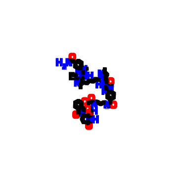 CCn1nc(C)c(CCCCCn2nc(C)cc2C(=O)Nc2nc3cc(C(=O)N(C)CCCNC(=O)COc4cccc5c4C(=O)N(C4CCC(=O)NC4=O)C5=O)ccc3n2C)c1Nc1nc2cc(C(N)=O)ccc2n1C